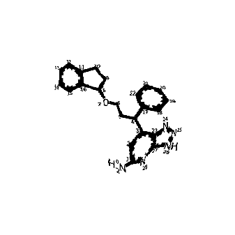 Nc1cc(C(CCOC2CCc3ccccc32)c2ccccc2)c2nn[nH]c2n1